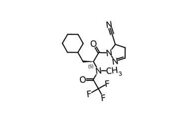 CN(C(=O)C(F)(F)F)[C@@H](CC1CCCCC1)C(=O)N1N=CCC1C#N